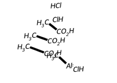 CC(=O)O.CC(=O)O.CC(=O)O.Cl.Cl.Cl.[CH3][Al]